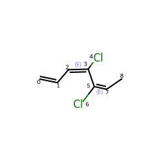 C=C/C=C(Cl)\C(Cl)=C/C